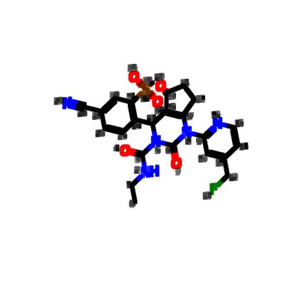 CCNC(=O)N1C(=O)N(c2cc(CF)ccn2)C2=C(C(=O)CC2)C1c1ccc(C#N)cc1S(C)(=O)=O